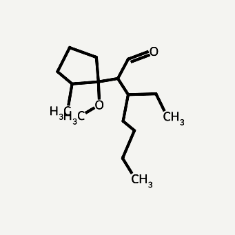 CCCCC(CC)C(C=O)C1(OC)CCCC1C